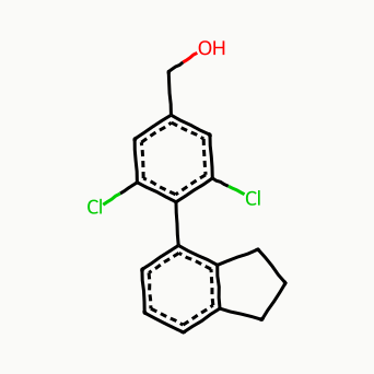 OCc1cc(Cl)c(-c2cccc3c2CCC3)c(Cl)c1